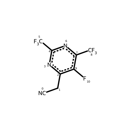 N#CCc1nc(C(F)(F)F)nc(C(F)(F)F)c1F